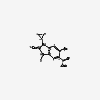 COC(=O)c1cc2c(cc1C(C)=O)n(C1CC1)c(=O)n2C